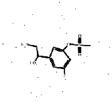 CS(=O)(=O)Nc1cc(F)cc(C(O)CN)c1